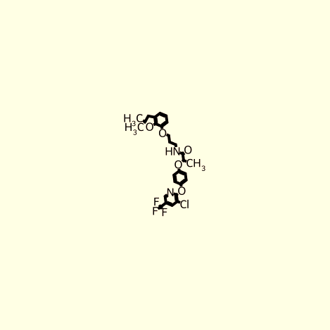 CC(Oc1ccc(Oc2ncc(C(F)(F)F)cc2Cl)cc1)C(=O)NCCCOc1cccc2c1OC(C)(C)C2